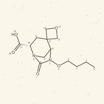 CCCCON1C(=O)N2CC1C1(COC1)C[C@H]2C(=O)O